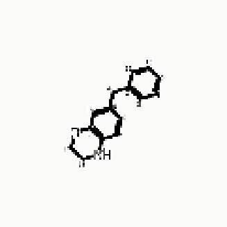 c1ccc(Cc2ccc3c(c2)OCCN3)cc1